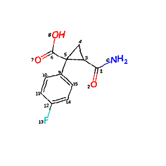 NC(=O)C1CC1(C(=O)O)c1ccc(F)cc1